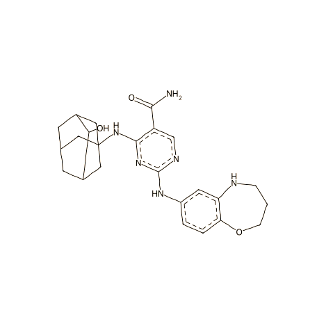 NC(=O)c1cnc(Nc2ccc3c(c2)NCCCO3)nc1NC12CC3CC(C1)C(O)C(C3)C2